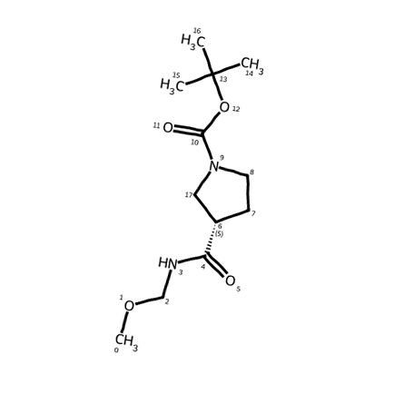 COCNC(=O)[C@H]1CCN(C(=O)OC(C)(C)C)C1